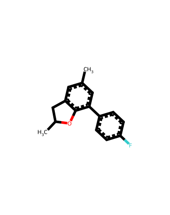 Cc1cc2c(c(-c3ccc(F)cc3)c1)OC(C)C2